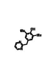 CC(C)(C)c1cc(Cc2ncccn2)cc(C(C)(C)C)c1O